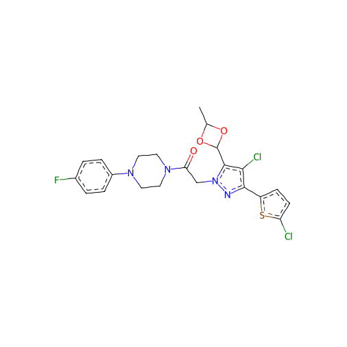 CC1OC(c2c(Cl)c(-c3ccc(Cl)s3)nn2CC(=O)N2CCN(c3ccc(F)cc3)CC2)O1